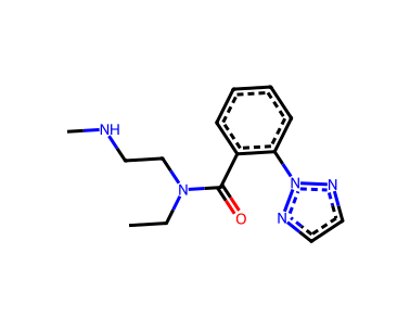 CCN(CCNC)C(=O)c1ccccc1-n1nccn1